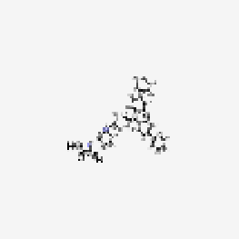 N#C/C(=C\C1=CC(=C/c2ccc(N(c3ccc(-c4ccccc4)cc3)c3ccc(-c4ccccc4)cc3)cc2)/CCC1)C(=O)O